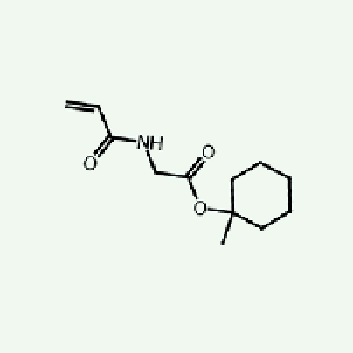 C=CC(=O)NCC(=O)OC1(C)CCCCC1